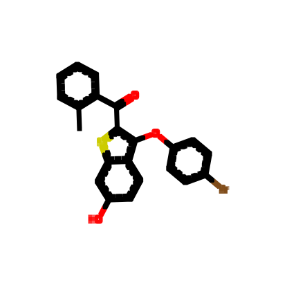 Cc1ccccc1C(=O)c1sc2cc(O)ccc2c1Oc1ccc(Br)cc1